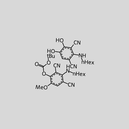 CCCCCCNc1c(C#N)cc(O)c(O)c1C#N.CCCCCCNc1c(C#N)cc(OC)c(OC(=O)OC(C)(C)C)c1C#N